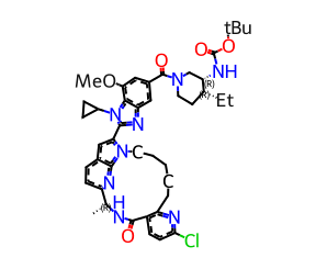 CC[C@@H]1CCN(C(=O)c2cc(OC)c3c(c2)nc(-c2cc4ccc5nc4n2CCCCCc2nc(Cl)ccc2C(=O)N[C@@H]5C)n3C2CC2)C[C@@H]1NC(=O)OC(C)(C)C